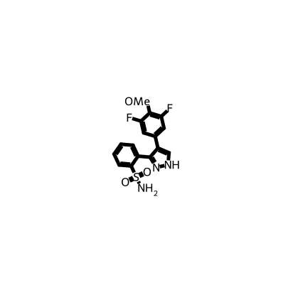 COc1c(F)cc(-c2c[nH]nc2-c2ccccc2S(N)(=O)=O)cc1F